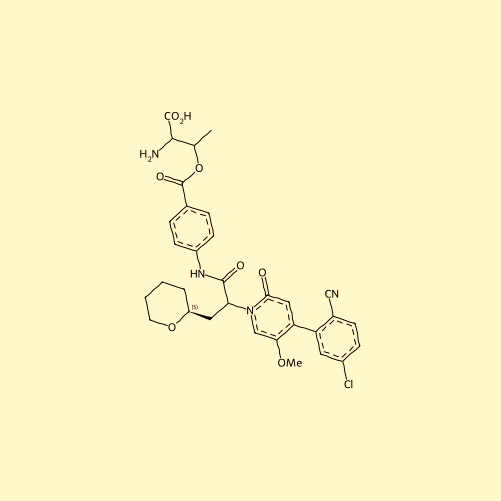 COc1cn(C(C[C@@H]2CCCCO2)C(=O)Nc2ccc(C(=O)OC(C)C(N)C(=O)O)cc2)c(=O)cc1-c1cc(Cl)ccc1C#N